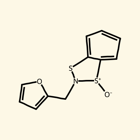 [O-][S+]1c2ccccc2SN1Cc1ccco1